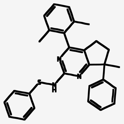 Cc1cccc(C)c1-c1nc(NSc2ccccc2)nc2c1CCC2(C)c1ccccc1